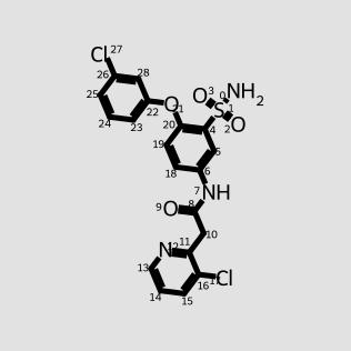 NS(=O)(=O)c1cc(NC(=O)Cc2ncccc2Cl)ccc1Oc1cccc(Cl)c1